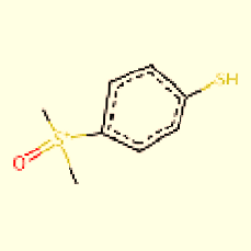 C[S+](C)(=O)c1ccc(S)cc1